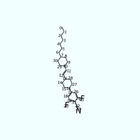 CCCCCCCC1CCC(/C=C/C2CCC(c3cc(F)c(C#N)c(F)c3)CC2)CC1